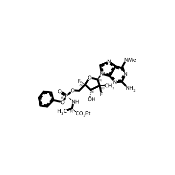 CCOC(=O)[C@H](C)N[P@](=O)(OC[C@@]1(F)O[C@@H](n2cnc3c(NC)nc(N)nc32)[C@](C)(F)[C@@H]1O)Oc1ccccc1